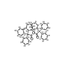 O=C(OC(=O)C(c1ccccc1)(c1ccccc1)c1ccccc1)C(c1ccccc1)(c1ccccc1)c1ccccc1